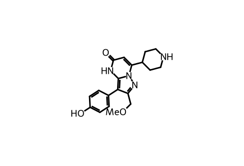 COCc1nn2c(C3CCNCC3)cc(=O)[nH]c2c1-c1ccc(O)cc1